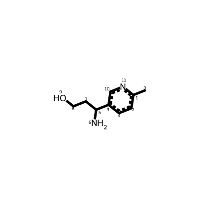 Cc1ccc(C(N)CCO)cn1